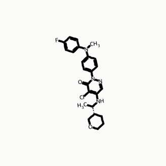 CC(Nc1cnn(-c2ccc(N(C)c3ccc(F)cc3)cc2)c(=O)c1Cl)[C@@H]1CCCOC1